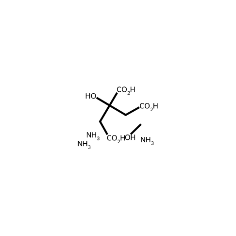 CO.N.N.N.O=C(O)CC(O)(CC(=O)O)C(=O)O